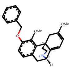 COC1=CC=C2[C@@H]3Cc4ccc(OCc5ccccc5)c(OC)c4[C@]2(CCN3)C1